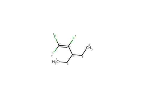 CCC(CC)C(F)=C(F)F